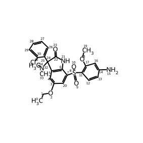 CCOc1cc2c(c(S(=O)(=O)c3ccc(N)cc3OC)c1)NC(=O)C2(c1ccccc1Cl)N(C)C